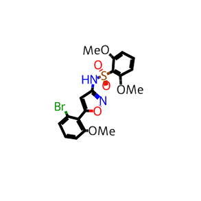 COc1cccc(Br)c1-c1cc(NS(=O)(=O)c2c(OC)cccc2OC)no1